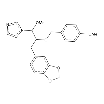 COc1ccc(COC(Cc2ccc3c(c2)OCO3)C(OC)n2ccnc2)cc1